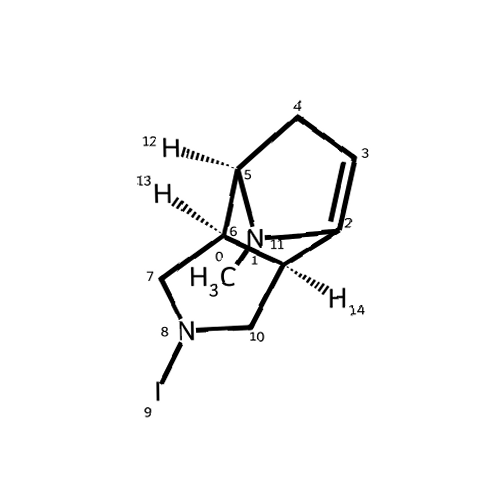 CN1C2=CC[C@@H]1[C@@H]1CN(I)C[C@H]21